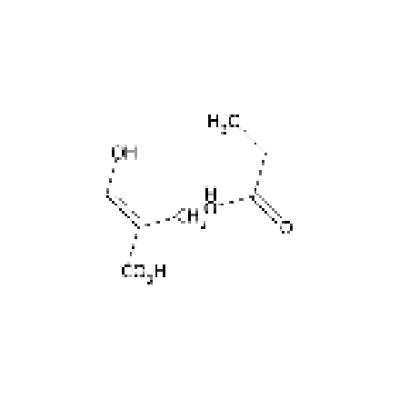 CC(=CO)C(=O)O.CCC(=O)O